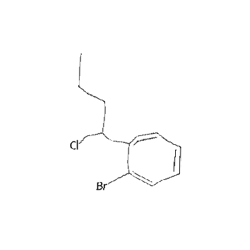 CCCC(Cl)c1ccccc1Br